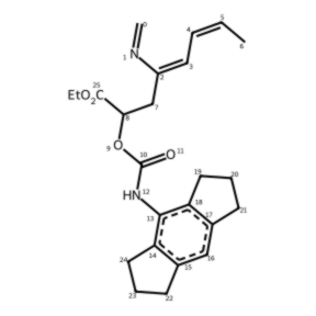 C=N/C(=C\C=C/C)CC(OC(=O)Nc1c2c(cc3c1CCC3)CCC2)C(=O)OCC